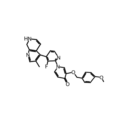 COc1ccc(COc2cn(-c3nccc(-c4c(C)cnc5c4C=CNC5)c3F)ccc2=O)cc1